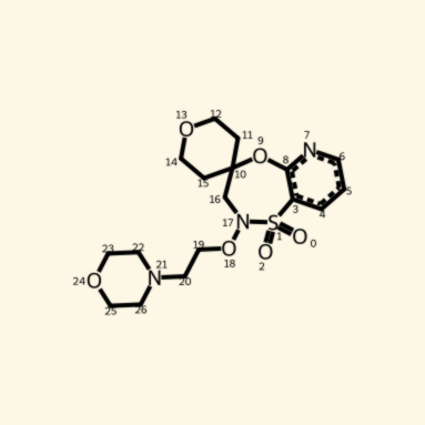 O=S1(=O)c2cccnc2OC2(CCOCC2)CN1OCCN1CCOCC1